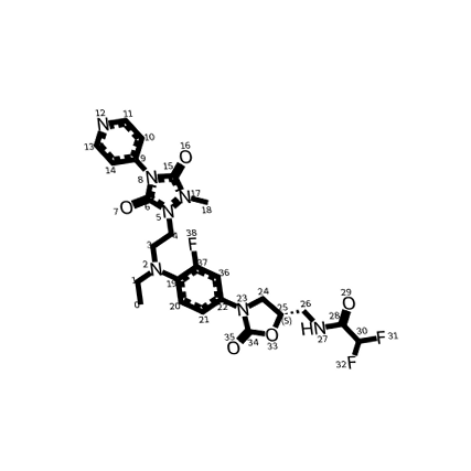 CCN(CCn1c(=O)n(-c2ccncc2)c(=O)n1C)c1ccc(N2C[C@H](CNC(=O)C(F)F)OC2=O)cc1F